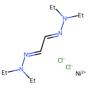 CCN(CC)N=CC=NN(CC)CC.[Cl-].[Cl-].[Ni+2]